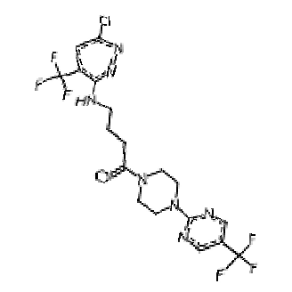 O=C(CCCNc1nnc(Cl)cc1C(F)(F)F)N1CCN(c2ncc(C(F)(F)F)cn2)CC1